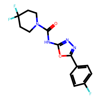 O=C(Nc1nnc(-c2ccc(F)cc2)o1)N1CCC(F)(F)CC1